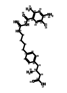 N=C(NCCCCc1ccc(C[C@@H](N)CC(=O)O)cc1)NC(=O)c1nc(Cl)c(N)nc1N